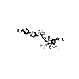 COc1cc(C)c([S+]([O-])N(C)CCOCC(=O)N(C)CC2CCN(c3cc[n+](C)cc3)CC2)c(C)c1